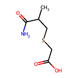 CC(CSCC(=O)O)C(N)=O